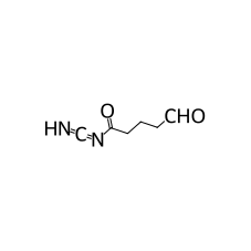 N=C=NC(=O)CCCC=O